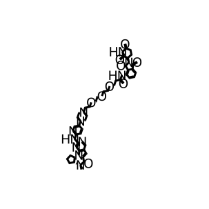 CN(C)C(=O)c1cc2cnc(Nc3ccc(N4CCN(CCOCCOCCOCCC(=O)Nc5cccc6c5C(=O)N(C5CCC(=O)NC5=O)C6=O)CC4)cn3)nc2n1C1CCCC1